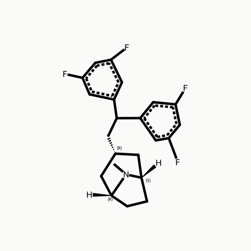 CN1[C@@H]2CC[C@H]1C[C@@H](CC(c1cc(F)cc(F)c1)c1cc(F)cc(F)c1)C2